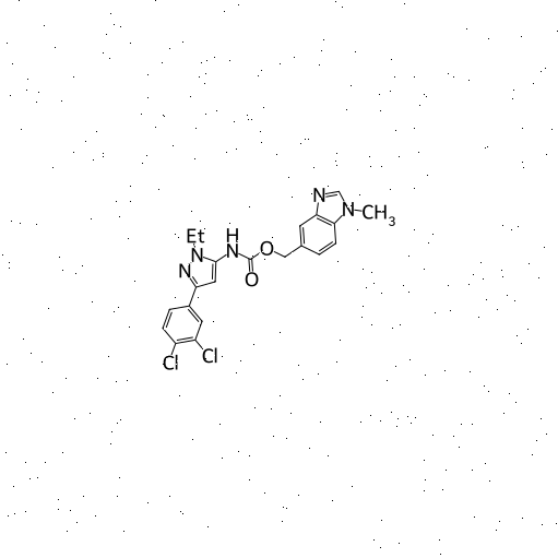 CCn1nc(-c2ccc(Cl)c(Cl)c2)cc1NC(=O)OCc1ccc2c(c1)ncn2C